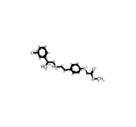 COC(=O)COc1ccc(CCNCC(O)c2cccc(Cl)c2)cc1